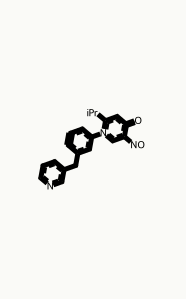 CC(C)c1cc(=O)c(N=O)cn1-c1cc#cc(Cc2cccnc2)c1